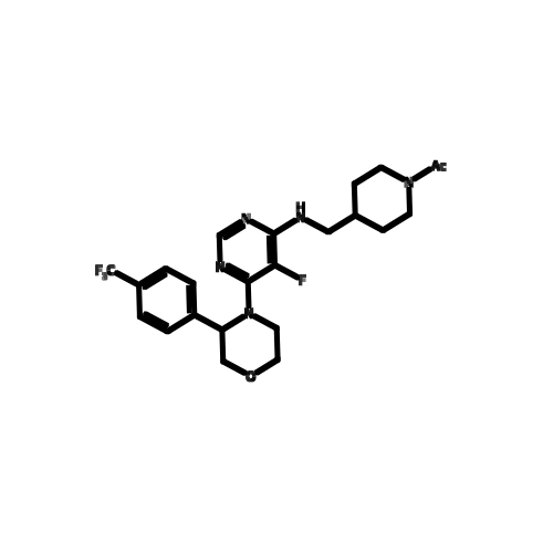 CC(=O)N1CCC(CNc2ncnc(N3CCOCC3c3ccc(C(F)(F)F)cc3)c2F)CC1